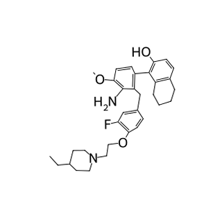 CCC1CCN(CCOc2ccc(Cc3c(-c4c(O)ccc5c4CCCC5)ccc(OC)c3N)cc2F)CC1